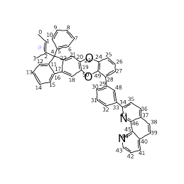 C/C=C(\C)C1(c2ccccc2)c2ccccc2-c2cc3c(cc21)Oc1cccc(-c2cccc(-c4ccc5ccc6cccnc6c5n4)c2)c1O3